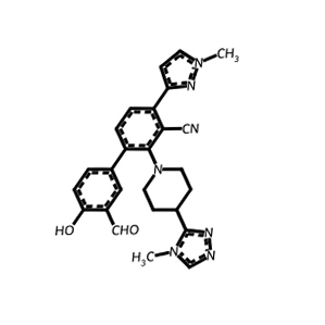 Cn1ccc(-c2ccc(-c3ccc(O)c(C=O)c3)c(N3CCC(c4nncn4C)CC3)c2C#N)n1